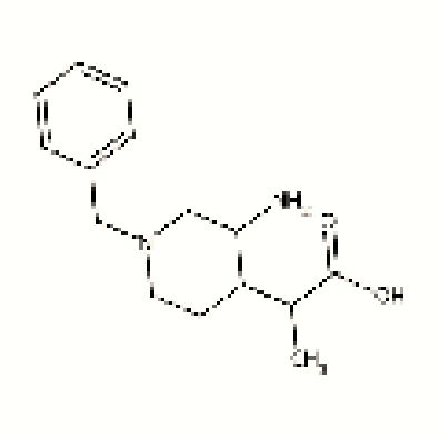 CC(C(=O)O)C1CCN(Cc2ccccc2)CC1N